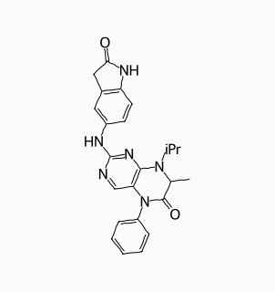 CC(C)N1c2nc(Nc3ccc4c(c3)CC(=O)N4)ncc2N(c2ccccc2)C(=O)C1C